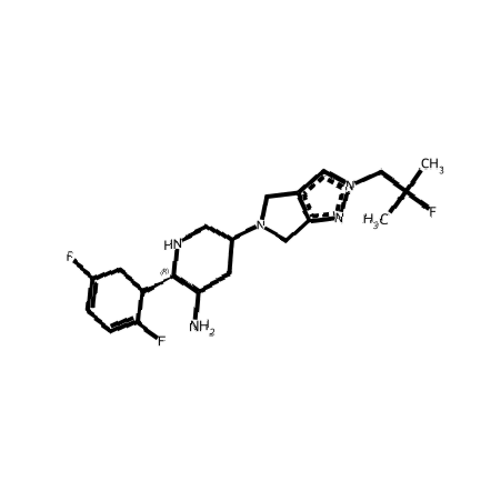 CC(C)(F)Cn1cc2c(n1)CN(C1CN[C@H](C3CC(F)=CC=C3F)C(N)C1)C2